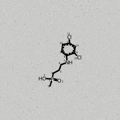 CP(=O)(O)CCCNc1ccc(Cl)cc1Cl